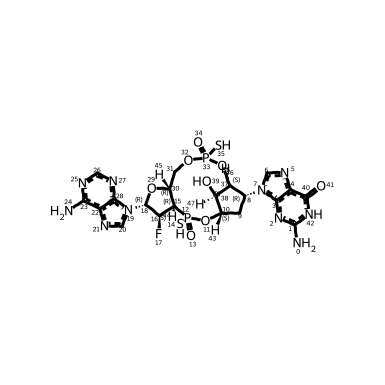 Nc1nc2c(ncn2[C@@H]2C[C@@H]3OP(=O)(S)[C@H]4[C@@H](F)[C@H](n5cnc6c(N)ncnc65)O[C@@H]4COP(=O)(S)O[C@@H]2[C@@H]3O)c(=O)[nH]1